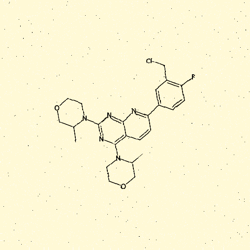 CC1COCCN1c1nc(N2CCOCC2C)c2ccc(-c3ccc(F)c(CCl)c3)nc2n1